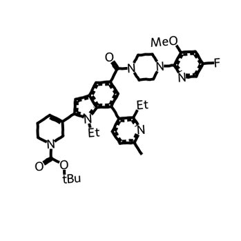 CCc1nc(C)ccc1-c1cc(C(=O)N2CCN(c3ncc(F)cc3OC)CC2)cc2cc(C3=CCCN(C(=O)OC(C)(C)C)C3)n(CC)c12